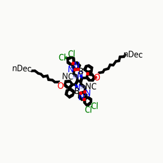 [C-]#[N+]/C(c1cnc2cc(Cl)c(Cl)cc2n1)=c1\c2c(-c3ccc(OCCCCCCCCCCCCCCCCCCCC)cc3)n(B(c3ccccc3)c3ccccc3)/c(=C(/C#N)c3cnc4cc(Cl)c(Cl)cc4n3)c2c(-c2ccc(OCCCCCCCCCCCCCCCCCCCC)cc2)n1B(c1ccccc1)c1ccccc1